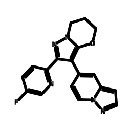 Fc1ccc(-c2nn3c(c2-c2ccn4nccc4c2)OCCC3)nc1